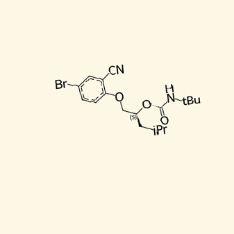 CC(C)C[C@@H](COc1ccc(Br)cc1C#N)OC(=O)NC(C)(C)C